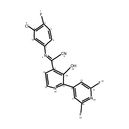 N#C/C(=N\c1ccc(F)c(Cl)c1)c1ccnc(-c2cc(F)nc(F)c2)c1O